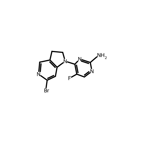 Nc1ncc(F)c(N2CCc3cnc(Br)cc32)n1